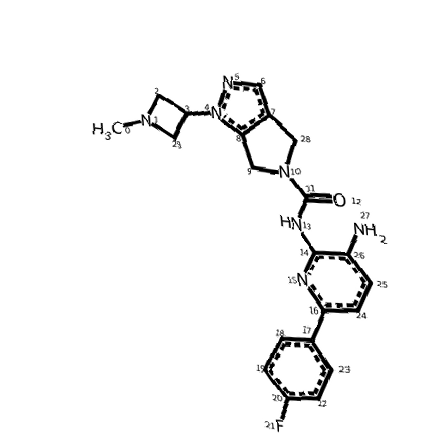 CN1CC(n2ncc3c2CN(C(=O)Nc2nc(-c4ccc(F)cc4)ccc2N)C3)C1